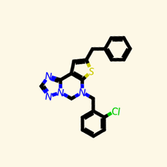 Clc1ccccc1CN1Cn2ncnc2-c2cc(Cc3ccccc3)sc21